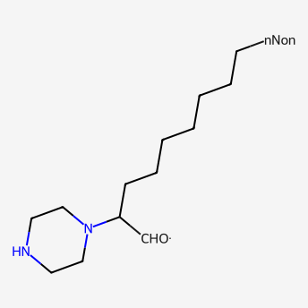 CCCCCCCCCCCCCCCCC([C]=O)N1CCNCC1